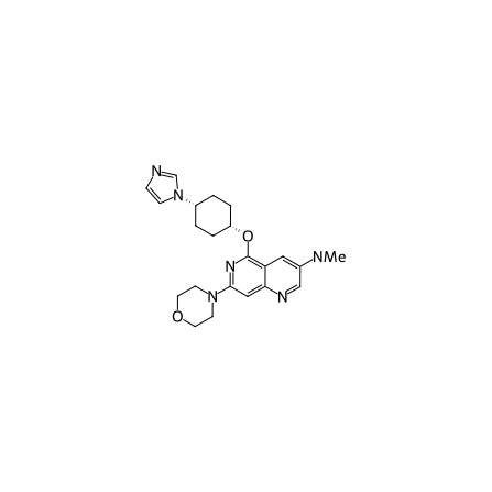 CNc1cnc2cc(N3CCOCC3)nc(O[C@H]3CC[C@@H](n4ccnc4)CC3)c2c1